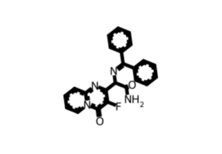 NC(=O)C(N=C(c1ccccc1)c1ccccc1)c1nc2ccccn2c(=O)c1F